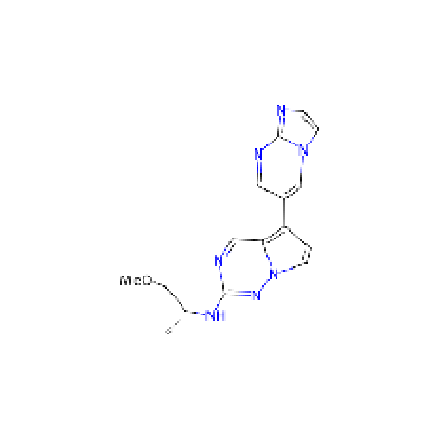 COC[C@@H](C)Nc1ncc2c(-c3cnc4nccn4c3)ccn2n1